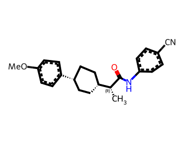 COc1ccc([C@H]2CC[C@@H]([C@@H](C)C(=O)Nc3ccc(C#N)cc3)CC2)cc1